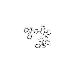 O=P(c1ccccc1)(c1ccccc1)c1cccc(-c2nc3ccccc3c3c2cc(-c2ccc(-c4nc5ccccc5n4-c4ccccc4)cc2)c2ccccc23)c1